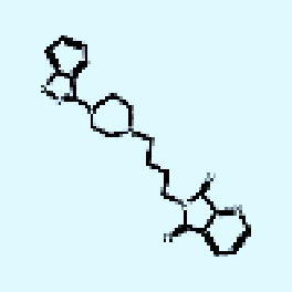 O=C1c2cccnc2C(=O)N1CCCCN1CCN(c2nsc3ccccc23)CC1